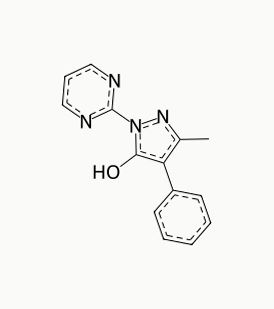 Cc1nn(-c2ncccn2)c(O)c1-c1ccccc1